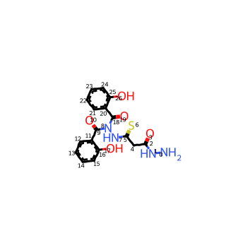 NNC(=O)CC(=S)NN(C(=O)c1ccccc1O)C(=O)c1ccccc1O